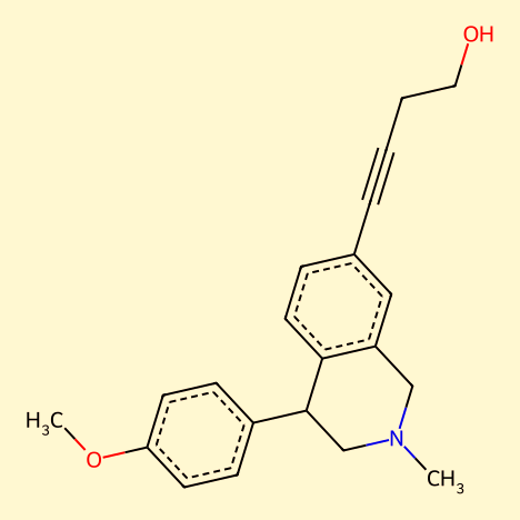 COc1ccc(C2CN(C)Cc3cc(C#CCCO)ccc32)cc1